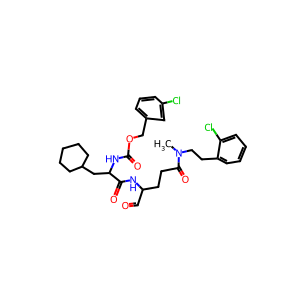 CN(CCc1ccccc1Cl)C(=O)CCC(C=O)NC(=O)C(CC1CCCCC1)NC(=O)OCc1cccc(Cl)c1